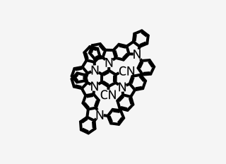 N#Cc1c(-n2c3ccccc3c3ccccc32)c(C#N)c(-n2c3ccccc3c3cc4c5ccccc5n(-c5ccccc5)c4cc32)c(-n2c3ccccc3c3ccccc32)c1-n1c2ccccc2c2cc3c4ccccc4n(-c4ccccc4)c3cc21